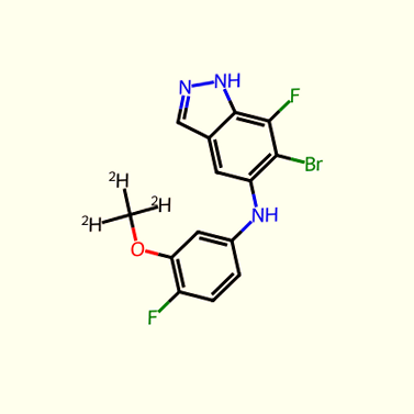 [2H]C([2H])([2H])Oc1cc(Nc2cc3cn[nH]c3c(F)c2Br)ccc1F